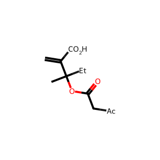 C=C(C(=O)O)C(C)(CC)OC(=O)CC(C)=O